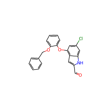 O=Cc1cc2c(Oc3ccccc3OCc3ccccc3)cc(Cl)cc2[nH]1